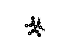 N#Cc1ccc(N(c2ccc(C#N)cc2)c2cc(-n3c4ccc(-c5ccccc5)cc4c4cc(-c5ccccc5)ccc43)cc(-n3c4ccc(-c5ccccc5)cc4c4cc(-c5ccccc5)ccc43)c2)cc1